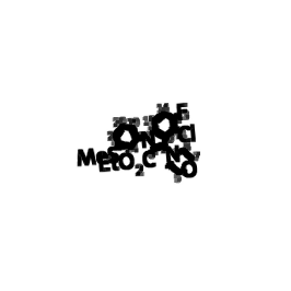 CCOC(=O)c1c(N2CCOCC2)c2c(Cl)c(F)ccc2n1-c1cccc(SC)c1